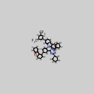 FC(F)(F)c1cc(-c2ccc3c4ccccc4n(-c4ccc(-c5cccc6oc7ccccc7c56)cc4-c4nc(-c5ccccc5)nc(-c5ccccc5)n4)c3c2)cc(C(F)(F)F)c1